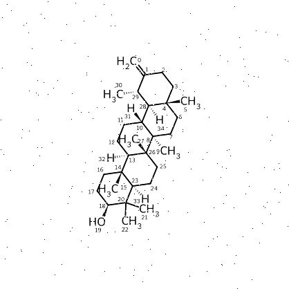 C=C1CC[C@]2(C)CC[C@]3(C)[C@H](CC[C@@H]4[C@@]5(C)CC[C@H](O)C(C)(C)[C@@H]5CC[C@]43C)[C@H]2[C@@H]1C